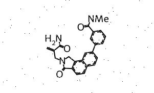 C=C(CN1Cc2c(ccc3ccc(-c4cccc(C(=O)NC)c4)cc23)C1=O)C(N)=O